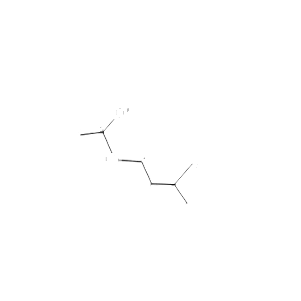 CC(C)CCOC(C)[O]